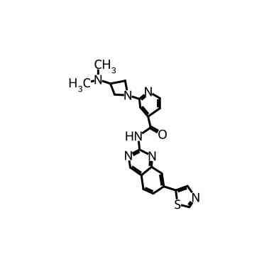 CN(C)C1CN(c2cc(C(=O)Nc3ncc4ccc(-c5cncs5)cc4n3)ccn2)C1